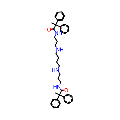 CC(C(=O)NCCCNCCCCNCCCNC(=O)C(C)(c1ccccc1)c1ccccc1)(C1=C=C=CC=C1)c1ccccc1